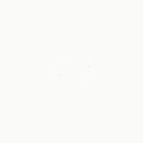 COc1cc2c(cc1[N+](=O)[O-])OC(C)(C)C(=O)N2C